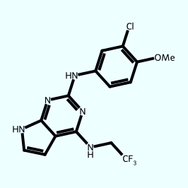 COc1ccc(Nc2nc(NCC(F)(F)F)c3cc[nH]c3n2)cc1Cl